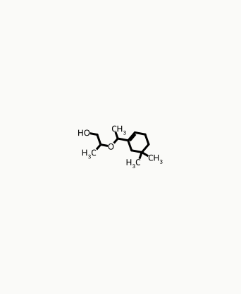 CC(CO)OC(C)C1=CCCC(C)(C)C1